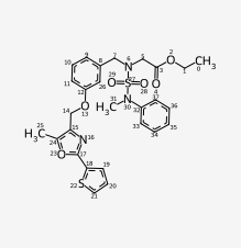 CCOC(=O)CN(Cc1cccc(OCc2nc(-c3cccs3)oc2C)c1)S(=O)(=O)N(C)c1ccccc1